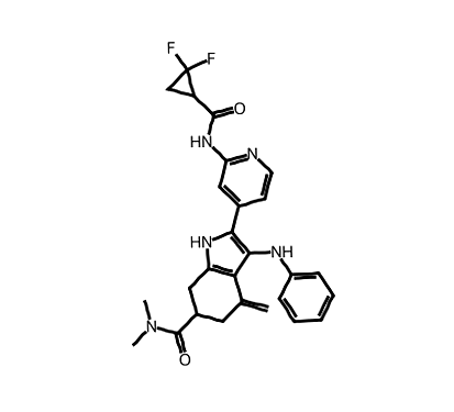 C=C1CC(C(=O)N(C)C)Cc2[nH]c(-c3ccnc(NC(=O)C4CC4(F)F)c3)c(Nc3ccccc3)c21